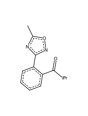 Cc1nc(-c2ccccc2C(=O)C(C)C)no1